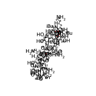 CC[C@H](C)[C@H](NC(=O)[C@H](CCCCN)NC(=O)[C@@H](NC(=O)[C@H](CO)NC(=O)[C@H](Cc1ccc(O)cc1)NC(=O)[C@H](CCC(N)=O)NC(=O)[C@@H](NC(=O)[C@H](CCCCN)NC(=O)[C@@H](NC(=O)[C@H](CC(N)=O)NC(=O)[C@H](CO)NC(=O)[C@H](CC(C)C)NC(=O)[C@@H](NC(=O)[C@@H](N)C(C)C)[C@@H](C)CC)[C@@H](C)O)[C@@H](C)O)[C@@H](C)CC)C(=O)N[C@@H](Cc1c[nH]cn1)C(=O)O